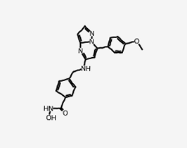 COc1ccc(-c2cc(NCc3ccc(C(=O)NO)cc3)nc3ccnn23)cc1